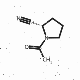 CC(=O)N1CCC[C@H]1C#N